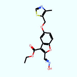 CCOC(=O)c1c(/C=N/O)oc2ccc(OCc3scnc3C)cc12